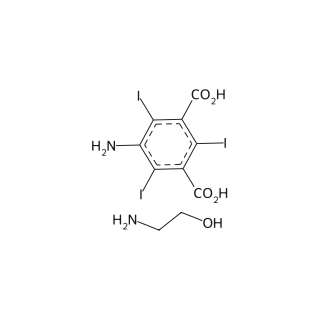 NCCO.Nc1c(I)c(C(=O)O)c(I)c(C(=O)O)c1I